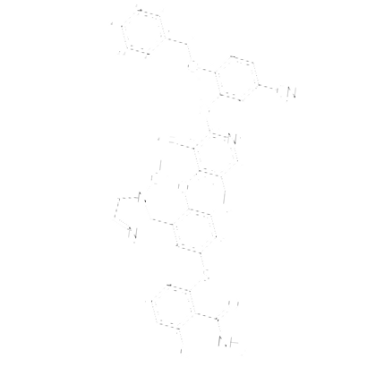 CN1CC=NC1c1cc(Sc2cccc(Cl)c2C(N)=O)ccc1Oc1c(F)cnc(Oc2cc(C#N)ccc2OCc2ccccc2)c1F